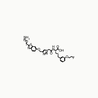 NOOSc1nc2ccc(OCc3cn(CC(=O)N[C@H](CSCc4cccc(OCCF)c4)C(=O)O)nn3)cc2s1